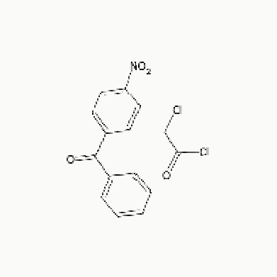 O=C(Cl)CCl.O=C(c1ccccc1)c1ccc([N+](=O)[O-])cc1